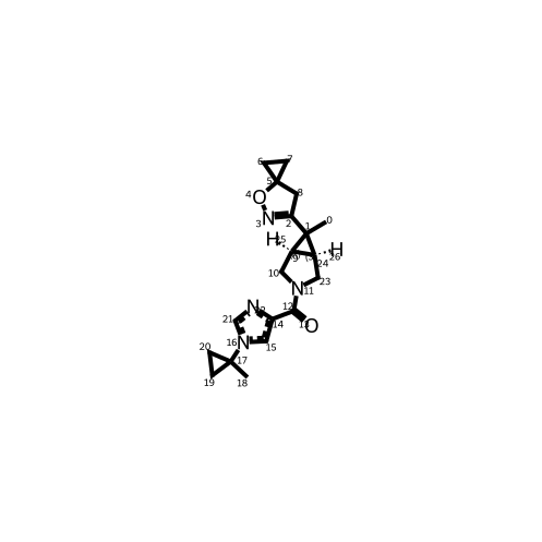 CC1(C2=NOC3(CC3)C2)[C@@H]2CN(C(=O)c3cn(C4(C)CC4)cn3)C[C@@H]21